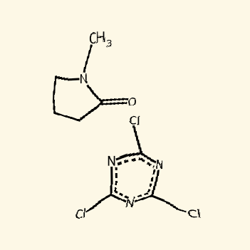 CN1CCCC1=O.Clc1nc(Cl)nc(Cl)n1